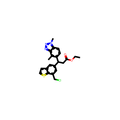 CCOC(=O)CC(c1cc(CCl)c2sccc2c1)c1ccc2c(nnn2C)c1C